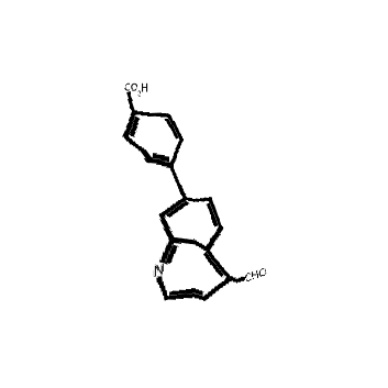 O=Cc1ccnc2cc(-c3ccc(C(=O)O)cc3)ccc12